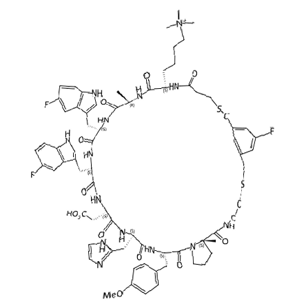 COc1ccc(C[C@@H]2NC(=O)[C@H](Cc3ncc[nH]3)NC(=O)[C@H](CC(=O)O)NC(=O)[C@H](Cc3c[nH]c4ccc(F)cc34)NC(=O)[C@H](Cc3c[nH]c4ccc(F)cc34)NC(=O)[C@@H](C)NC(=O)[C@H](CCCC[N+](C)(C)C)NC(=O)CCSCc3cc(F)cc(c3)CSCCNC(=O)[C@]3(C)CCCN3C2=O)cc1